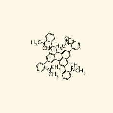 CN(C)c1ccccc1-c1cc2cc(-c3ccccc3N(C)C)cc3c4cc(-c5ccccc5N(C)C)cc5cc(-c6ccccc6N(C)C)cc(c(c1)c23)c54